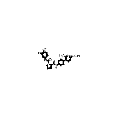 Cc1nc(C(=O)O)ccc1-c1ccc(NC(=O)[C@H]2CCCN2C(=O)Nc2ccc(C(C)C)c(F)c2)cc1